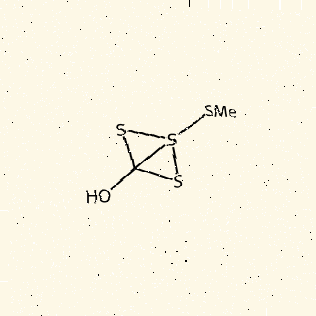 CSS12SC1(O)S2